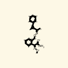 CO/N=C(\C(N)=O)c1ccccc1CO/N=C(/C)C1CC1c1ccccc1